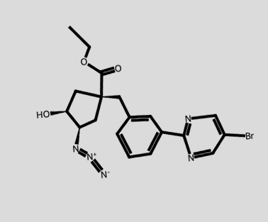 CCOC(=O)[C@@]1(Cc2cccc(-c3ncc(Br)cn3)c2)C[C@H](O)[C@H](N=[N+]=[N-])C1